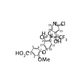 COc1cc(C(=O)O)ccc1Oc1ccc([C@@H](C)[C@@](O)(c2ccnc(Cl)c2)C(F)(F)F)c(Cl)c1